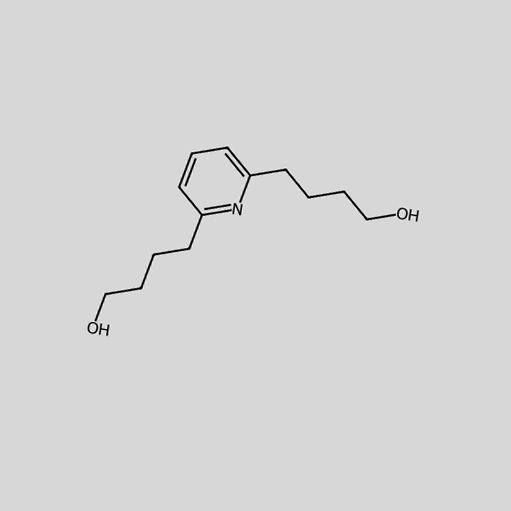 OCCCCc1cccc(CCCCO)n1